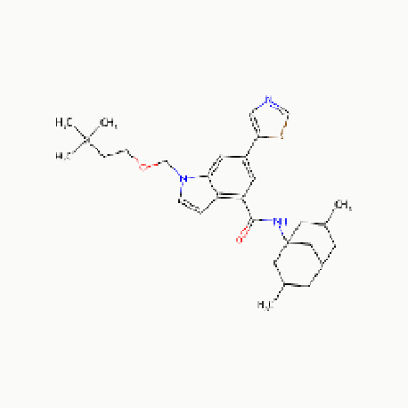 CC1CC2CC(C)CC(NC(=O)c3cc(-c4cncs4)cc4c3ccn4COCC[Si](C)(C)C)(C1)C2